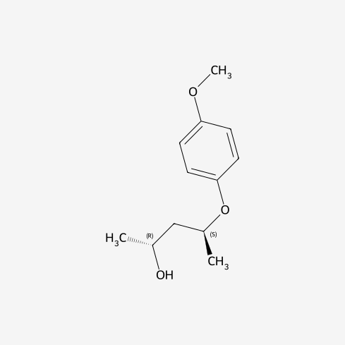 COc1ccc(O[C@@H](C)C[C@@H](C)O)cc1